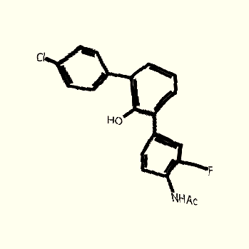 CC(=O)Nc1ccc(-c2cccc(-c3ccc(Cl)cc3)c2O)cc1F